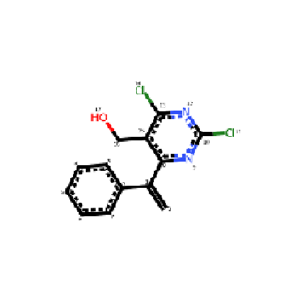 C=C(c1ccccc1)c1nc(Cl)nc(Cl)c1CO